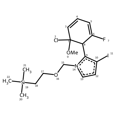 COC1(Cl)C=CC=C(F)C1c1c(I)ccn1COCC[Si](C)(C)C